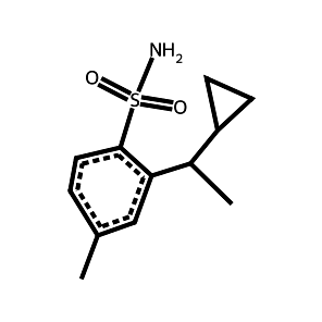 Cc1ccc(S(N)(=O)=O)c(C(C)C2CC2)c1